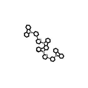 c1ccc2c3c(ccc4c5ccccc5n(-c5cccc(-c6cccc(-n7c8ccccc8c8ccccc87)c6)n5)c43)n(-c3cccc(-c4cccc(-n5c6ccccc6c6ccccc65)c4)n3)c2c#1